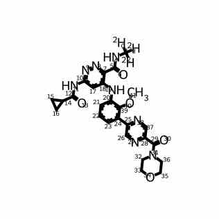 [2H]C([2H])([2H])NC(=O)c1nnc(NC(=O)C2CC2)cc1Nc1cccc(-c2cnc(C(=O)N3CCOCC3)cn2)c1OC